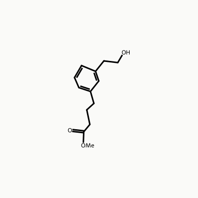 COC(=O)CCCc1cccc(CCO)c1